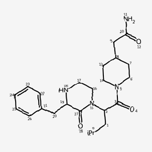 CC(C)CC(C(=O)N1CCC(CC(N)=O)CC1)N1CCNC(Cc2ccccc2)C1=O